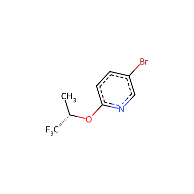 C[C@H](Oc1ccc(Br)cn1)C(F)(F)F